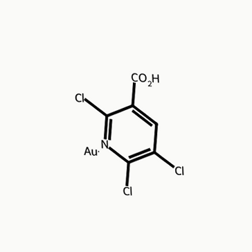 O=C(O)c1cc(Cl)c(Cl)nc1Cl.[Au]